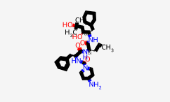 CCC[C@H](NC(=O)[C@H](Cc1ccccc1)NC(=O)N1CCC(N)CC1)C(=O)N[C@@H](CC1CCCCC1)[C@@H](O)CC(C)(C)O